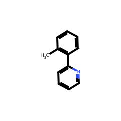 Cc1ccc[c]c1-c1ccccn1